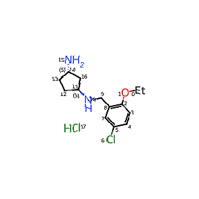 CCOc1ccc(Cl)cc1CN[C@H]1CC[C@H](N)C1.Cl